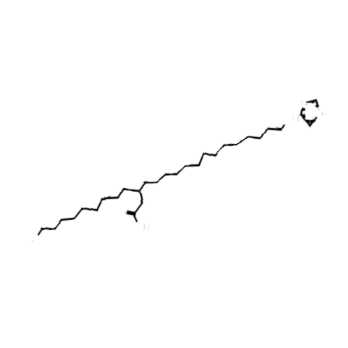 CCCCCCCCCCCCCCCC(CCCCCCCCCC)CC(=O)O.c1c[nH]cn1